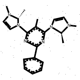 Cc1c(N2C=CN(C)[C@H]2C)nc(-c2ccccc2)nc1N1C=CN(C)[C@@H]1C